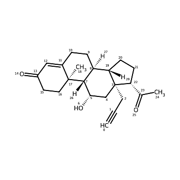 C#CC[C@]12C[C@H](O)[C@H]3[C@@H](CCC4=CC(=O)CC[C@@]43C)[C@@H]1CC[C@@H]2C(C)=O